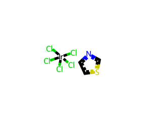 [Cl][Ir]([Cl])([Cl])([Cl])[Cl].c1cscn1